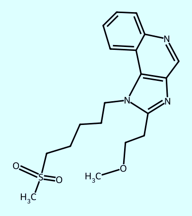 COCCc1nc2cnc3ccccc3c2n1CCCCCS(C)(=O)=O